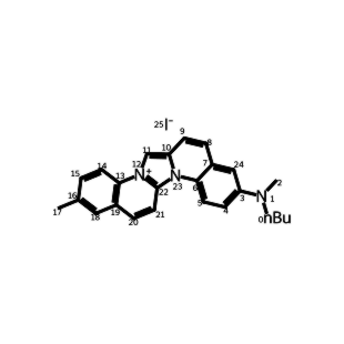 CCCCN(C)c1ccc2c(ccc3c[n+]4c5ccc(C)cc5ccc4n32)c1.[I-]